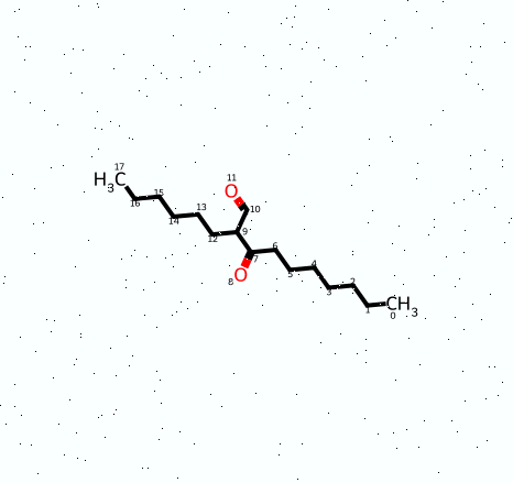 CCCCCCCC(=O)C([C]=O)CCCCCC